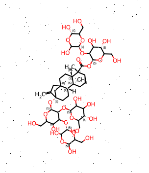 C=C1C[C@@]23CC[C@H]4[C@@](C)(CCC[C@@]4(C)C(=O)O[C@@H]4OC(CO)[C@@H](O)C(O)C4O[C@@H]4OC(CO)[C@@H](O)OC4O)[C@@H]2CC[C@]1(O[C@@H]1OC(CO)[C@@H](O)C(O[C@@H]2OC(CO)[C@@H](O)OC2O)C1O[C@@H]1OC(CO)[C@@H](O)C(O)C1O)C3